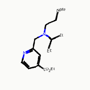 CCOC(=O)c1ccnc(CN(CCNC)C(CC)CC)c1